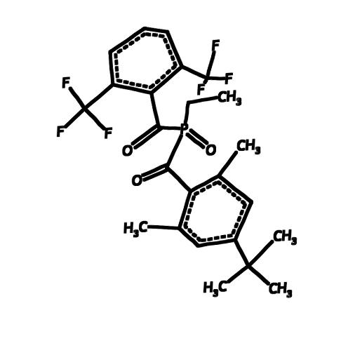 CCP(=O)(C(=O)c1c(C)cc(C(C)(C)C)cc1C)C(=O)c1c(C(F)(F)F)cccc1C(F)(F)F